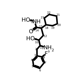 NC(Cc1ccccc1F)C(O)CC(C(=O)NO)C1CCCCC1